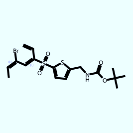 C=C/C(=C\C(Br)=C/C)S(=O)(=O)c1ccc(CNC(=O)OC(C)(C)C)s1